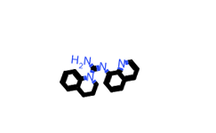 NC(=Nc1cccc2cccnc12)N1CCCc2ccccc21